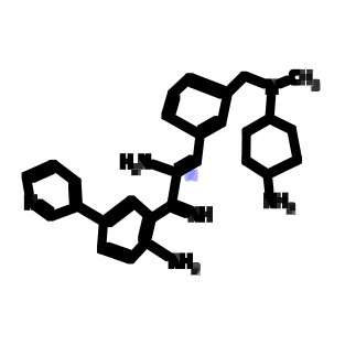 CN(Cc1cccc(/C=C(\N)C(=N)c2cc(-c3cccnc3)ccc2N)c1)C1CCC(N)CC1